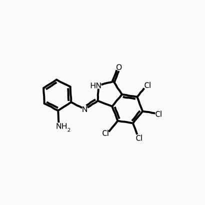 Nc1ccccc1/N=C1\NC(=O)c2c(Cl)c(Cl)c(Cl)c(Cl)c21